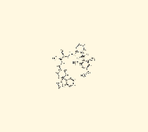 COc1cc(C)c(S(=O)(=O)N2CCCCC2COCC(=O)N(C)CCC2CCC(c3ccccc3)(N3CCC3)CC2)c(C)c1